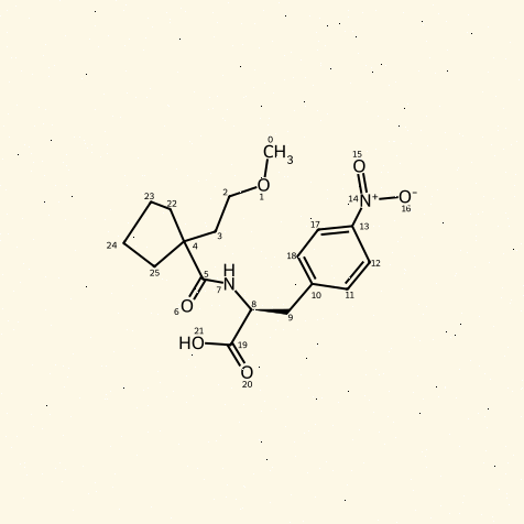 COCCC1(C(=O)N[C@@H](Cc2ccc([N+](=O)[O-])cc2)C(=O)O)CCCC1